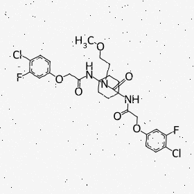 COCCN1C(=O)C2(NC(=O)COc3ccc(Cl)c(F)c3)CCC1(NC(=O)COc1ccc(Cl)c(F)c1)CC2